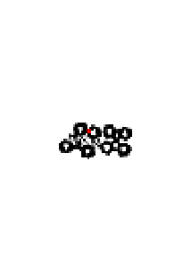 c1ccc(N(c2ccc3c(c2)C(c2ccccc2)(c2ccccc2)c2ccccc2-3)c2cccc3c4c5ccccc5n5c6ccccc6n(c23)c45)cc1